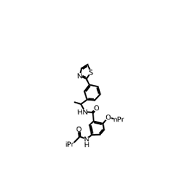 CCCOc1ccc(NC(=O)C(C)C)cc1C(=O)NC(C)c1cccc(-c2nccs2)c1